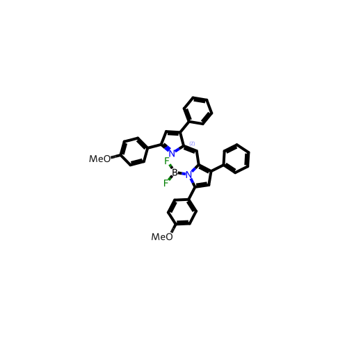 COc1ccc(C2=N/C(=C\c3c(-c4ccccc4)cc(-c4ccc(OC)cc4)n3B(F)F)C(c3ccccc3)=C2)cc1